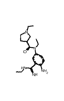 CCNC(=N)c1cc(N(CC)C(=O)C2CCN(CC)C2)ccc1N